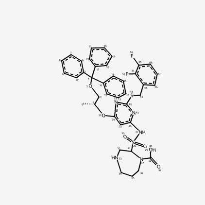 C[C@H](COC(c1ccccc1)(c1ccccc1)c1ccccc1)Oc1cc(NS(=O)(=O)C2CNCCCN2C(=O)O)nc(SCc2cccc(F)c2F)n1